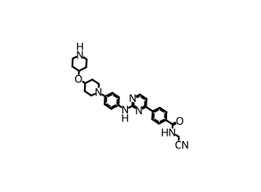 N#CCNC(=O)c1ccc(-c2ccnc(Nc3ccc(N4CCC(OC5CCNCC5)CC4)cc3)n2)cc1